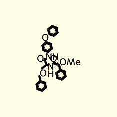 CO[C@H](C(=O)NC(COCc1ccccc1)C(=O)Nc1ccc(Oc2ccccc2)cc1)c1ccccc1